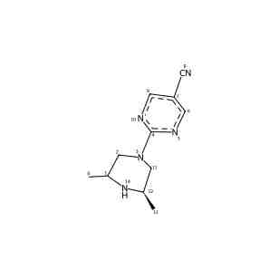 CC1CN(c2ncc(C#N)cn2)C[C@@H](C)N1